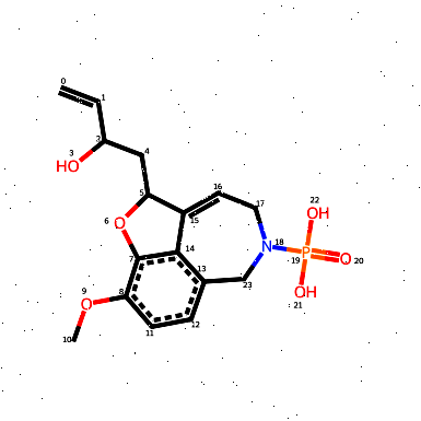 C=CC(O)CC1Oc2c(OC)ccc3c2C1=CCN(P(=O)(O)O)C3